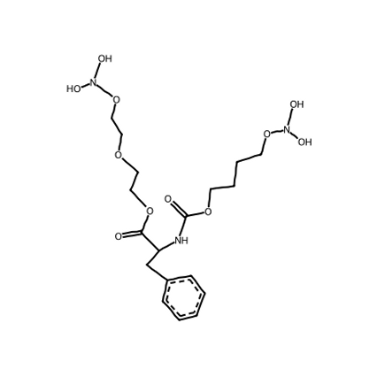 O=C(NC(Cc1ccccc1)C(=O)OCCOCCON(O)O)OCCCCON(O)O